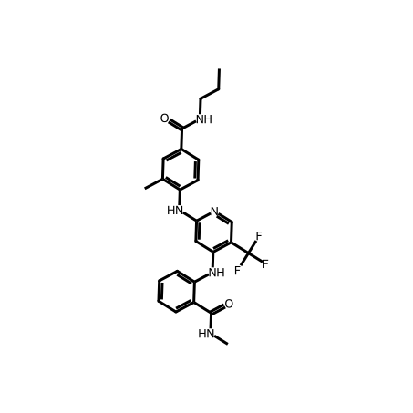 CCCNC(=O)c1ccc(Nc2cc(Nc3ccccc3C(=O)NC)c(C(F)(F)F)cn2)c(C)c1